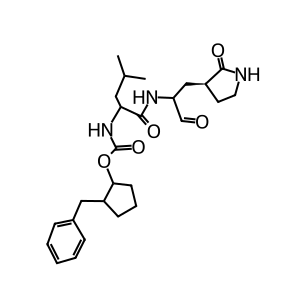 CC(C)CC(NC(=O)OC1CCCC1Cc1ccccc1)C(=O)NC(C=O)C[C@@H]1CCNC1=O